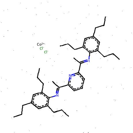 CCCc1cc(CCC)c(N=C(C)c2cccc(C(C)=Nc3c(CCC)cc(CCC)cc3CCC)n2)c(CCC)c1.[Cl-].[Cl-].[Co+2]